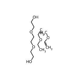 C=COC.CCOCC.OCCOCCOCCO